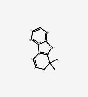 CC1(C)CC=Cc2c1oc1ccccc21